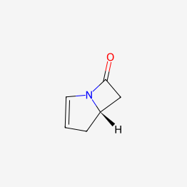 O=C1C[C@@H]2CC=CN12